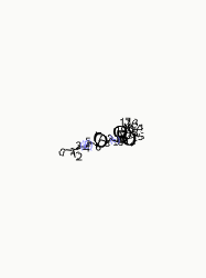 CC(C)=C/C=C/COC/C=C/B1OC(C)(C)C(C)(C)O1